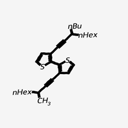 CCCCCCC(C)C#Cc1ccsc1-c1sccc1C#CC(CCCC)CCCCCC